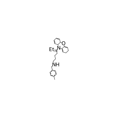 CC[C@@H](CCCCNCc1ccc(C)cc1)N1C2=CCCC=C2OC2C=CC=CC21